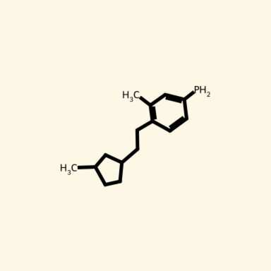 Cc1cc(P)ccc1CCC1CCC(C)C1